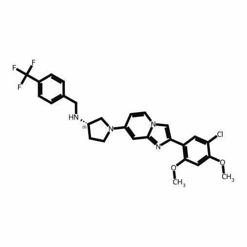 COc1cc(OC)c(-c2cn3ccc(N4CC[C@H](NCc5ccc(C(F)(F)F)cc5)C4)cc3n2)cc1Cl